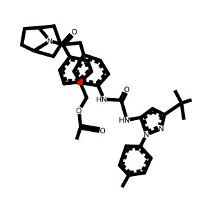 CC(=O)OCc1ccc(C(=O)N2C3CCC2CC(Cc2ccc(NC(=O)Nc4cc(C(C)(C)C)nn4-c4ccc(C)cc4)cc2)C3)cc1